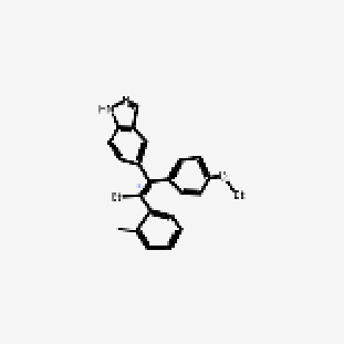 [CH2]COc1ccc(/C(=C(/CC)c2ccccc2C)c2ccc3[nH]ncc3c2)cc1